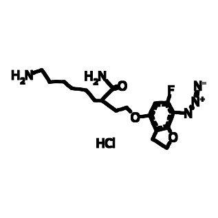 Cl.[N-]=[N+]=Nc1c(F)cc(OCCC(CCCCCCN)C(N)=O)c2c1OCC2